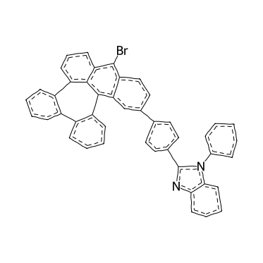 Brc1c2ccc(-c3ccc(-c4nc5ccccc5n4-c4ccccc4)cc3)cc2c2c3c(cccc13)-c1ccccc1-c1ccccc1-2